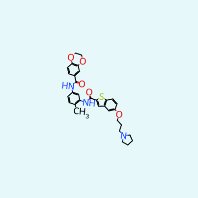 Cc1ccc(NC(=O)c2ccc3c(c2)OCCO3)cc1NC(=O)c1cc2cc(OCCCN3CCCC3)ccc2s1